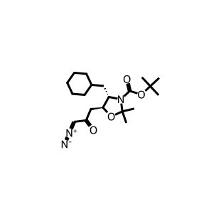 CC(C)(C)OC(=O)N1[C@@H](CC2CCCCC2)[C@H](CC(=O)C=[N+]=[N-])OC1(C)C